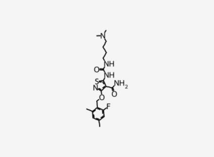 Cc1cc(C)c(COc2nsc(NC(=O)NCCCCN(C)C)c2C(N)=O)c(F)c1